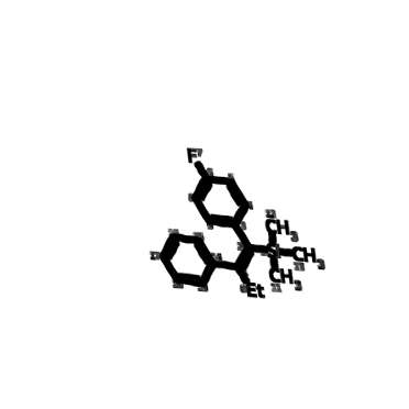 CCC(=C(c1ccc(F)cc1)[Si](C)(C)C)c1ccccc1